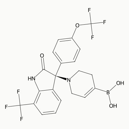 O=C1Nc2c(C(F)(F)F)cccc2[C@]1(c1ccc(OC(F)(F)F)cc1)N1CC=C(B(O)O)CC1